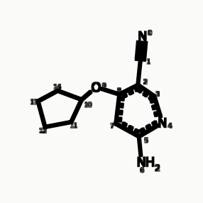 N#Cc1cnc(N)cc1OC1CCCC1